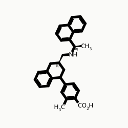 Cc1cc(C2C[C@H](CN[C@H](C)c3cccc4ccccc34)Cc3ccccc32)ccc1C(=O)O